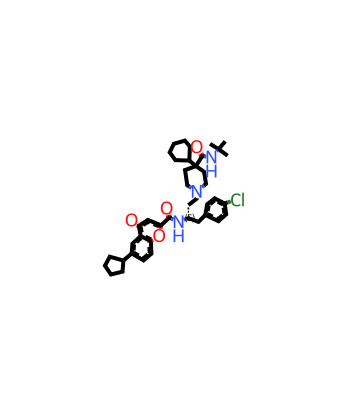 CC(C)(C)NC(=O)C1(C2CCCCC2)CCN(CC[C@H](Cc2ccc(Cl)cc2)NC(=O)c2cc(=O)c3cc(C4CCCC4)ccc3o2)CC1